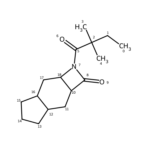 CCC(C)(C)C(=O)N1C(=O)C2CC3CCCC3CC21